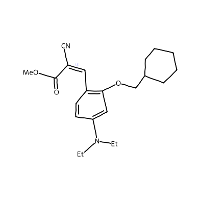 CCN(CC)c1ccc(/C=C(/C#N)C(=O)OC)c(OCC2CCCCC2)c1